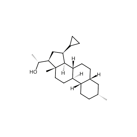 C[C@@H]1CC[C@H]2[C@H](CC[C@@H]3[C@@H]2CC[C@@]2(C)[C@H]3[C@H](C3CC3)C[C@@H]2[C@@H](C)O)C1